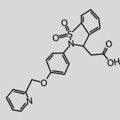 O=C(O)CC1c2ccccc2S(=O)(=O)N1c1ccc(OCc2ccccn2)cc1